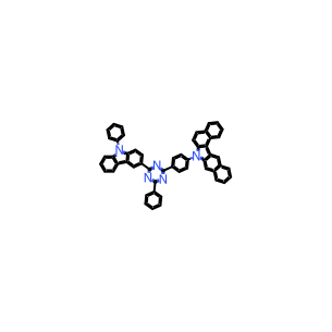 c1ccc(-c2nc(-c3ccc(-n4c5cc6ccccc6cc5c5c6ccccc6ccc54)cc3)nc(-c3ccc4c(c3)c3ccccc3n4-c3ccccc3)n2)cc1